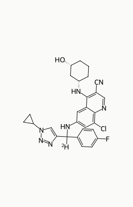 [2H]C(Nc1cc(Cl)c2ncc(C#N)c(N[C@H]3CCC[C@@H](O)C3)c2c1)(c1ccc(F)cc1)c1cn(C2CC2)nn1